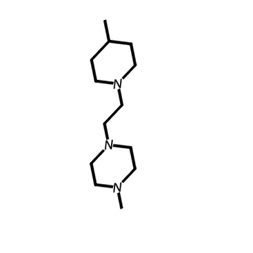 CC1CCN(CCN2CCN(C)CC2)CC1